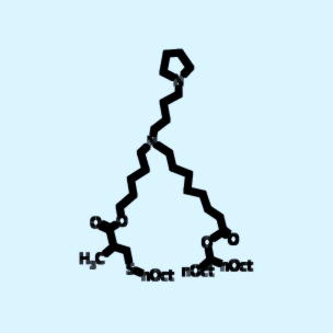 CCCCCCCCSCC(C)C(=O)OCCCCCN(CCCCCCCC(=O)OC(CCCCCCCC)CCCCCCCC)CCCCN1CCCC1